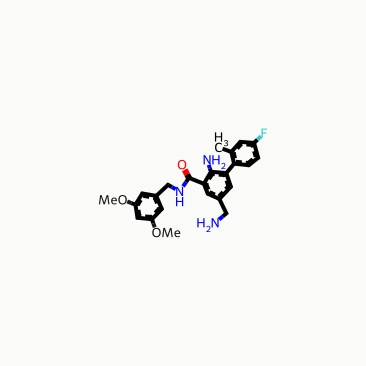 COc1cc(CNC(=O)c2cc(CN)cc(-c3ccc(F)cc3C)c2N)cc(OC)c1